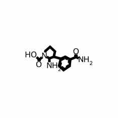 NC(=O)c1cccc(C2CCCN(C(=O)O)C2N)c1